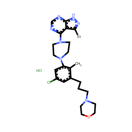 CCc1n[nH]c2ncnc(N3CCN(c4cc(Cl)cc(CCCN5CCOCC5)c4C)CC3)c12.Cl